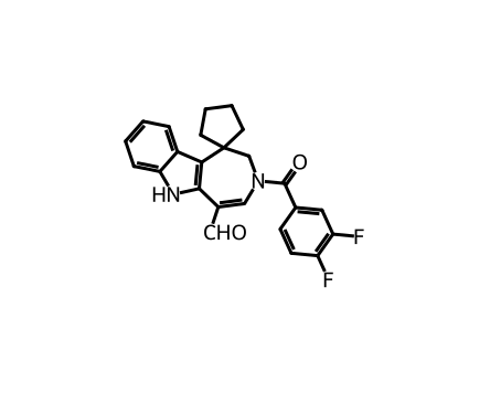 O=CC1=CN(C(=O)c2ccc(F)c(F)c2)CC2(CCCC2)c2c1[nH]c1ccccc21